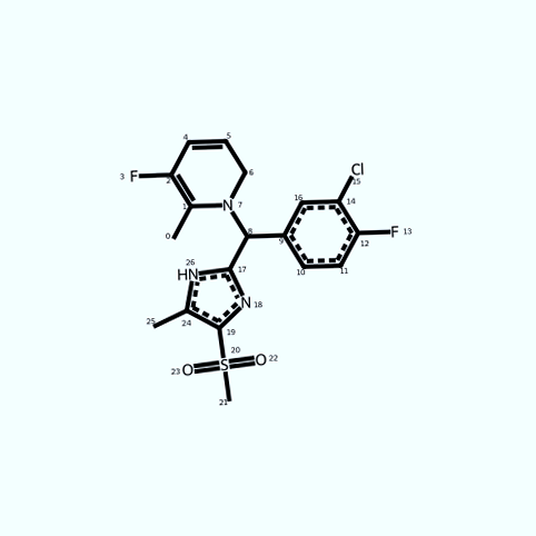 CC1=C(F)C=CCN1C(c1ccc(F)c(Cl)c1)c1nc(S(C)(=O)=O)c(C)[nH]1